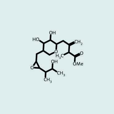 C=C(CC1OCC(CC2OC2C(C)C(C)O)C(O)C1O)C(C)C(=O)OC